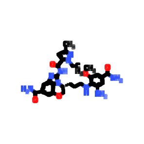 CCn1nc(C)cc1C(=O)Nc1nc2cc(C(N)=O)cc3c2n1[C@H](CCCNc1c(N)cc(C(N)=O)cc1OC)CO3